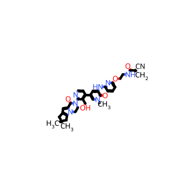 C=C(C#N)C(=O)NCCOc1cccc(Nc2cc(-c3ccnc(N4CCn5c(cc6c5CC(C)(C)C6)C4=O)c3CO)cn(C)c2=O)n1